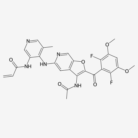 C=CC(=O)Nc1cncc(C)c1Nc1cc2c(NC(C)=O)c(C(=O)c3c(F)c(OC)cc(OC)c3F)oc2cn1